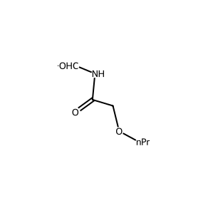 CCCOCC(=O)N[C]=O